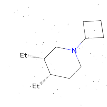 CC[C@@H]1CN(C2CCC2)CC[C@@H]1CC